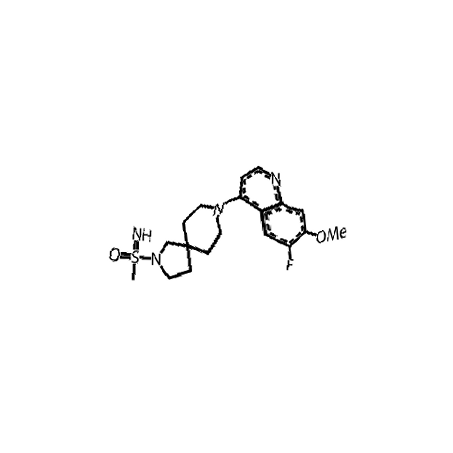 COc1cc2nccc(N3CCC4(CC3)CCN(S(C)(=N)=O)C4)c2cc1F